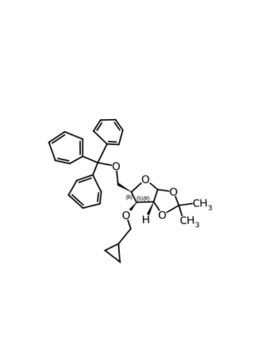 CC1(C)OC2O[C@H](COC(c3ccccc3)(c3ccccc3)c3ccccc3)[C@H](OCC3CC3)[C@H]2O1